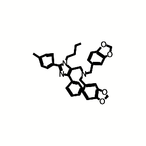 CCCCn1c(-c2ccc(C)cc2)nc(-c2ccccc2)c1CN(Cc1ccc2c(c1)OCO2)Cc1ccc2c(c1)OCO2